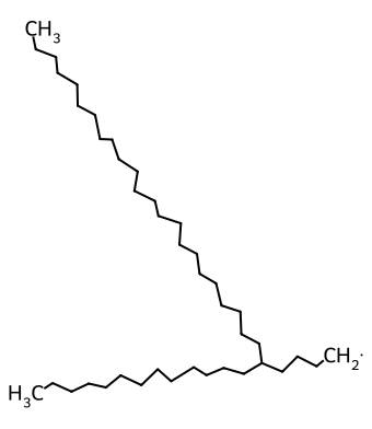 [CH2]CCCC(CCCCCCCCCCCCC)CCCCCCCCCCCCCCCCCCCCCCC